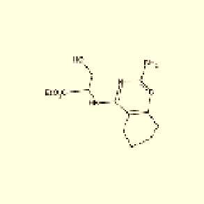 CCOC(=O)C(CO)Nc1nc(N)nc2c1CCCC2